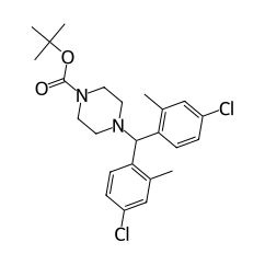 Cc1cc(Cl)ccc1C(c1ccc(Cl)cc1C)N1CCN(C(=O)OC(C)(C)C)CC1